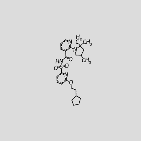 CC1CN(c2ncccc2C(=O)NS(=O)(=O)c2cccc(OCCC3CCCC3)n2)C(C)(C)C1